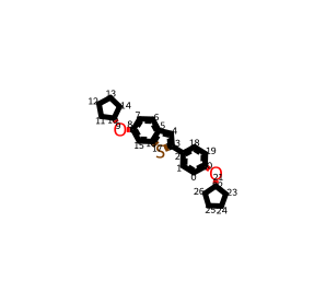 c1cc(-c2cc3ccc(OC4CCCC4)cc3s2)ccc1OC1CCCC1